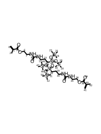 C=C(C)C(=O)OCCNC(=O)NCCC[Si](O[Si](C)(C)C)(O[Si](C)(C)C)O[Si](CCCNC(=O)NCCOC(=O)C(=C)C)(O[Si](C)(C)C)O[Si](C)(C)C